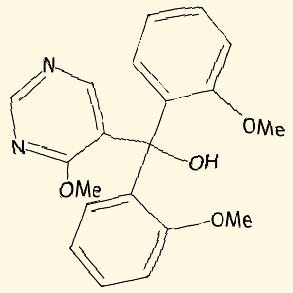 COc1ccccc1C(O)(c1ccccc1OC)c1cncnc1OC